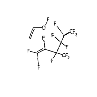 C=COF.FC(F)=C(F)C(F)(C(F)(F)F)C(F)(F)C(F)C(F)(F)F